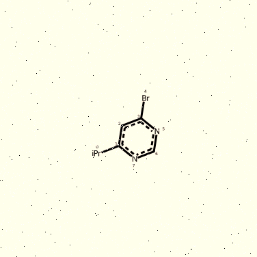 CC(C)c1cc(Br)ncn1